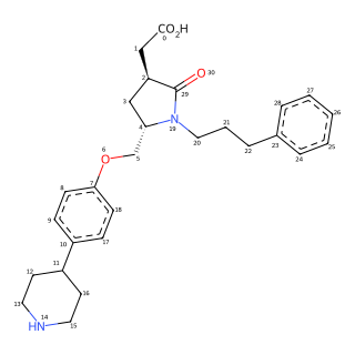 O=C(O)C[C@@H]1C[C@@H](COc2ccc(C3CCNCC3)cc2)N(CCCc2ccccc2)C1=O